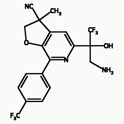 CC1(C#N)COc2c1cc(C(O)(CN)C(F)(F)F)nc2-c1ccc(C(F)(F)F)cc1